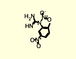 Cc1ccc([N+](=O)[O-])cc1N(C(=N)N)[N+](=O)[O-]